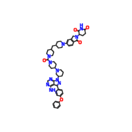 Nc1ncnc2c1c(-c1ccc(Oc3ccccc3)cc1)nn2[C@@H]1CCCN(C2CCN(C(=O)N3CCC(CC4CCN(c5ccc6c(c5)CN(C5CCC(=O)NC5=O)C6=O)CC4)CC3)CC2)C1